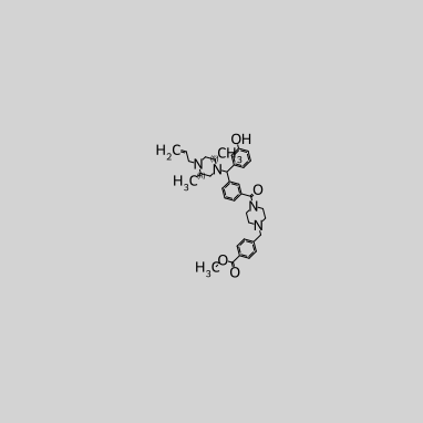 C=CCN1C[C@H](C)N(C(c2cccc(O)c2)c2cccc(C(=O)N3CCN(Cc4ccc(C(=O)OC)cc4)CC3)c2)C[C@H]1C